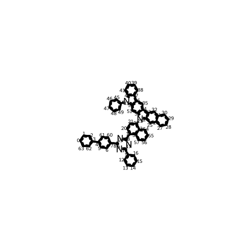 c1ccc(-c2ccc(-c3nc(-c4ccccc4)nc(-c4ccc(-n5c6cc7ccccc7cc6c6cc7c8ccccc8n(-c8ccccc8)c7cc65)c5ccccc45)n3)cc2)cc1